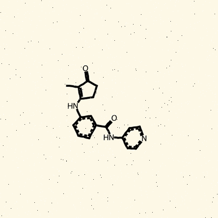 CC1=C(Nc2cccc(C(=O)Nc3ccncc3)c2)CCC1=O